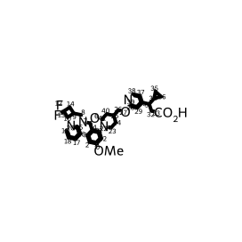 COc1ccc(C(=O)N(CC2CC(F)(F)C2)c2ccccn2)c(N2CCC(COc3cc(C(CC(=O)O)C4CC4)ccn3)CC2)c1